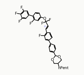 CCCCCC1COC(c2ccc(-c3ccc(/C=C/C(F)(F)Oc4ccc(-c5cc(F)c(F)c(F)c5)c(F)c4)c(F)c3)cc2)OC1